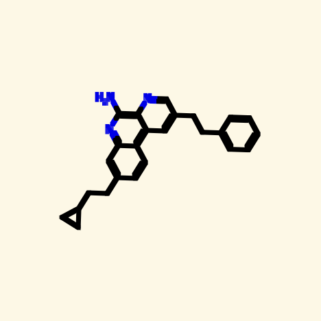 Nc1nc2cc(CCC3CC3)ccc2c2cc(CCc3ccccc3)cnc12